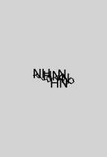 CC(=N)CCCc1ccc(-c2cc3c(N[C@H](C)c4ccccc4)ncnc3[nH]2)cc1